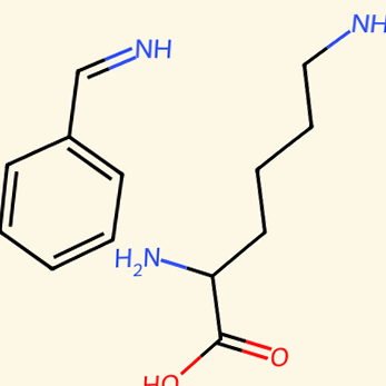 N=Cc1ccccc1.NCCCCC(N)C(=O)O